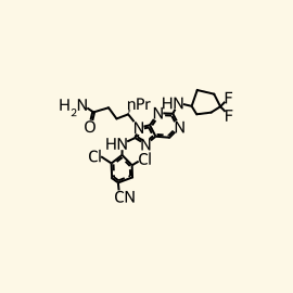 CCC[C@@H](CCC(N)=O)n1c(Nc2c(Cl)cc(C#N)cc2Cl)nc2cnc(NC3CCC(F)(F)CC3)nc21